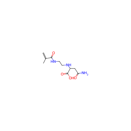 C=C(C)C(=O)NCCNC(CC(N)=O)C(=O)O